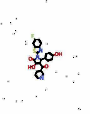 O=C(C1=C(O)C(=O)N(c2nc3ccc(F)cc3s2)C1c1ccc(O)cc1)c1cccnc1